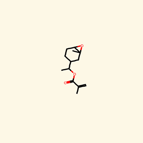 C=C(C)C(=O)OC(C)C1CCC2OC2(C)C1